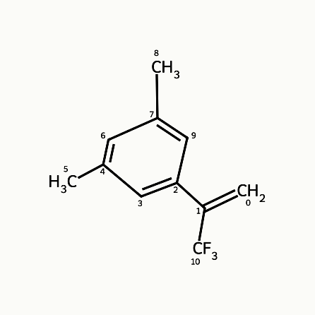 C=C(c1cc(C)cc(C)c1)C(F)(F)F